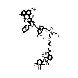 C#Cc1c(F)ccc2cc(O)cc(-c3ncc4c(N5CC6CCC(C5)N6)nc(OC[C@@]56CC[C@@H](COC(=O)N(C)CCOCCOCC(=O)Nc7cccc8c7C(=O)N(C7CCC(=O)NC7=O)C8=O)N5CC(=C)C6)nc4c3F)c12